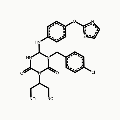 O=NCC(CN=O)N1C(=O)NC(Nc2ccc(Oc3nccs3)cc2)N(Cc2ccc(Cl)cc2)C1=O